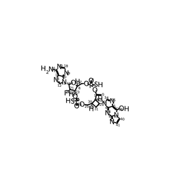 C=C1OP(=O)(S)OC[C@H]2O[C@@H](n3cnc4c(N)ncnc43)[C@H](F)[C@@H]2OP(=O)(S)OC[C@H]2C[C@@H](n3cnc4c(O)n5ccnc5nc43)[C@H]12